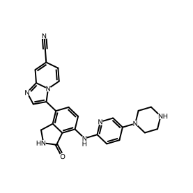 N#Cc1ccn2c(-c3ccc(Nc4ccc(N5CCNCC5)cn4)c4c3CNC4=O)cnc2c1